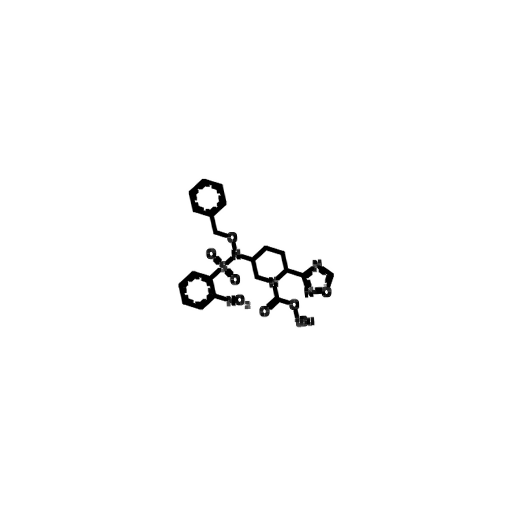 CC(C)(C)OC(=O)N1CC(N(OCc2ccccc2)S(=O)(=O)c2ccccc2[N+](=O)[O-])CCC1c1ncon1